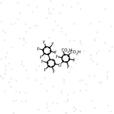 O=C(O)c1c(F)c(F)c(Oc2cc(-c3c(F)c(F)c(F)c(F)c3F)c(F)c(F)c2F)c(F)c1C(=O)O